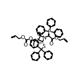 C=CCOC(=O)OC(C)[C@H]1C(=O)N(C(C(=O)OCC=C)=P(c2ccccc2)(c2ccccc2)c2ccccc2)[C@@H]1SC(c1ccccc1)(c1ccccc1)c1ccccc1